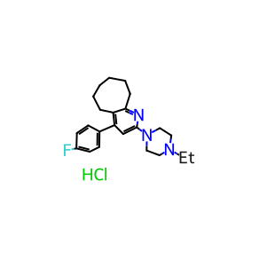 CCN1CCN(c2cc(-c3ccc(F)cc3)c3c(n2)CCCCCC3)CC1.Cl